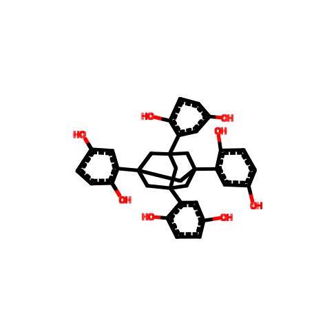 Oc1ccc(O)c(C23CC4(c5cc(O)ccc5O)CC(c5cc(O)ccc5O)(C2)CC(c2cc(O)ccc2O)(C3)C4)c1